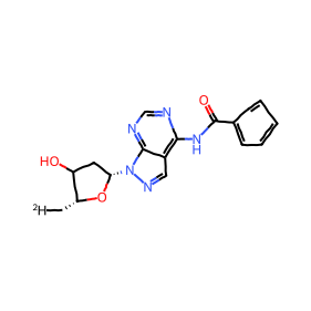 [2H]C[C@H]1O[C@@H](n2ncc3c(NC(=O)c4ccccc4)ncnc32)CC1O